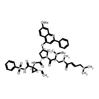 C=C[C@@H]1C[C@]1(NC(=O)[C@@H]1C[C@@H](Oc2cc(-c3ccccc3)nc3cc(OC)ccc23)CN1C(=O)[C@H](CN(C)C(=O)C=CCN(C)C)N(C(=O)O)C(C)(C)C)C(=O)NS(=O)(=O)c1ccccc1